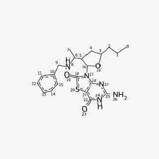 CCCC1CC(C(C)NCc2ccccc2)C(n2c(=O)sc3c(=O)[nH]c(N)nc32)O1